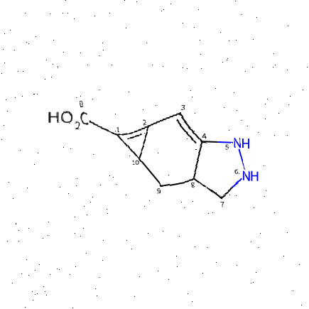 O=C(O)C1=C2C=C3NNCC3CC21